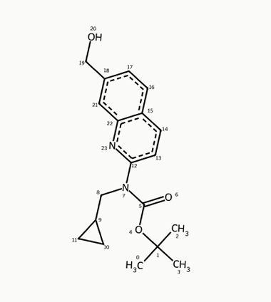 CC(C)(C)OC(=O)N(CC1CC1)c1ccc2ccc(CO)cc2n1